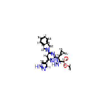 CCOC(=O)C(=N)/C(=C1/N=C(N2Cc3ccccc3C2)C=C(c2cn[nH]c2)N1)C1CC1